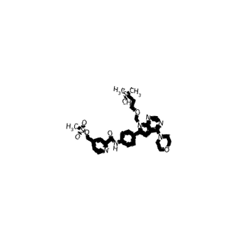 C[Si](C)(C)CCOCn1c(-c2ccc(NC(=O)c3cc(COS(C)(=O)=O)ccn3)cc2)cc2c(N3CCOCC3)ncnc21